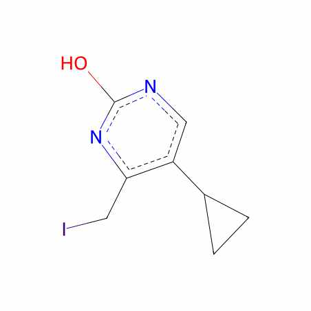 Oc1ncc(C2CC2)c(CI)n1